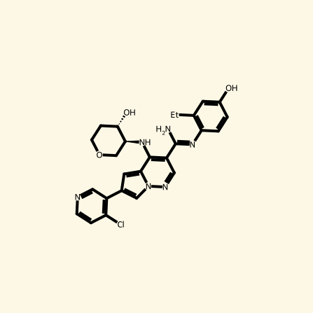 CCc1cc(O)ccc1/N=C(\N)c1cnn2cc(-c3cnccc3Cl)cc2c1N[C@H]1COCC[C@@H]1O